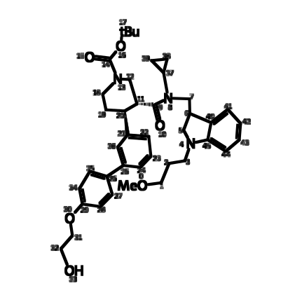 COCCCN1CC(CN(C(=O)[C@H]2CN(C(=O)OC(C)(C)C)CC[C@@H]2c2cccc(-c3ccc(OCCO)cc3)c2)C2CC2)c2ccccc21